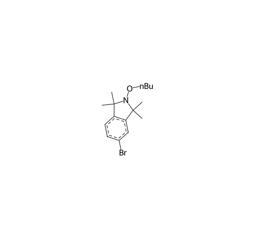 CCCCON1C(C)(C)c2ccc(Br)cc2C1(C)C